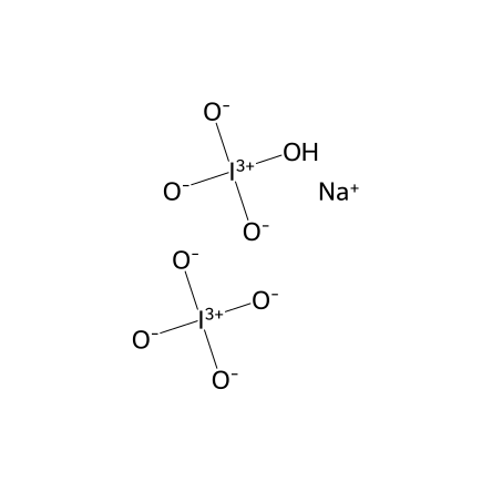 [Na+].[O-][I+3]([O-])([O-])O.[O-][I+3]([O-])([O-])[O-]